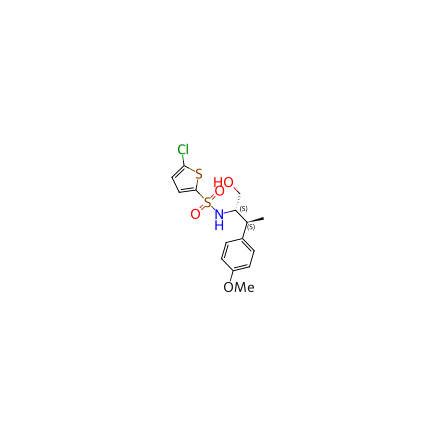 COc1ccc([C@H](C)[C@@H](CO)NS(=O)(=O)c2ccc(Cl)s2)cc1